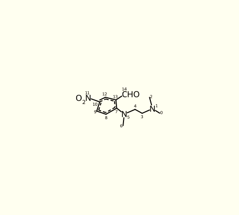 CN(C)CCN(C)c1ccc([N+](=O)[O-])cc1C=O